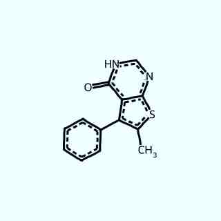 Cc1sc2nc[nH]c(=O)c2c1-c1ccccc1